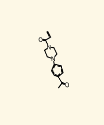 C=CC(=O)N1CCN(c2ccc(C(C)=O)cc2)CC1